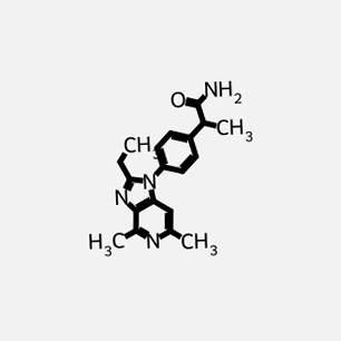 CCc1nc2c(C)nc(C)cc2n1-c1ccc(C(C)C(N)=O)cc1